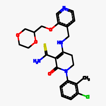 Cc1c(Cl)cccc1N1CCC(NCc2ccncc2OCC2COCCO2)=C(C(N)=S)C1=O